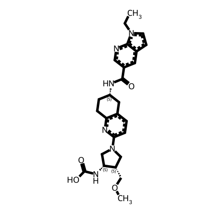 CCn1ccc2cc(C(=O)N[C@H]3CCc4nc(N5C[C@H](COC)[C@H](NC(=O)O)C5)ccc4C3)cnc21